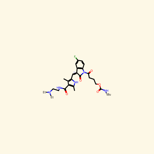 CCN(CC)CCNC(=O)c1c(C)[nH]c(/C=C2\C(=O)N(C(=O)CCCOC(=O)NC(C)(C)C)c3ccc(F)cc32)c1C